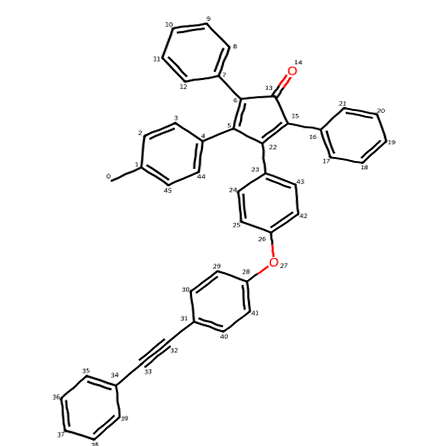 Cc1ccc(C2=C(c3ccccc3)C(=O)C(c3ccccc3)=C2c2ccc(Oc3ccc(C#Cc4ccccc4)cc3)cc2)cc1